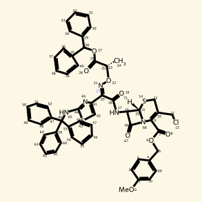 COc1ccc(COC(=O)C2=C(CCl)CS[C@H]3C(NC(=O)/C(=N\O[C@@H](C)C(=O)OC(c4ccccc4)c4ccccc4)c4csc(NC(c5ccccc5)(c5ccccc5)c5ccccc5)n4)C(=O)N23)cc1